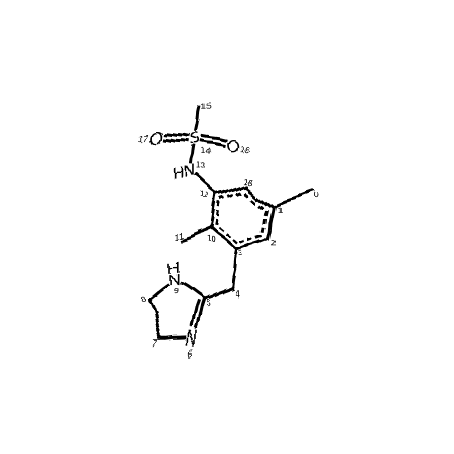 Cc1cc(CC2=NCCN2)c(C)c(NS(C)(=O)=O)c1